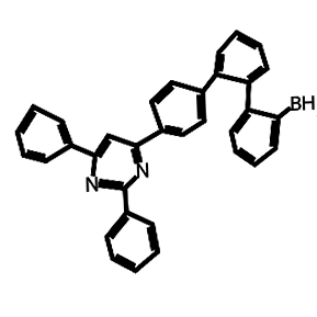 Bc1ccccc1-c1ccccc1-c1ccc(-c2cc(-c3ccccc3)nc(-c3ccccc3)n2)cc1